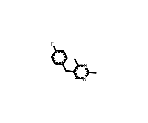 Cc1n[c]c(Cc2ccc(F)cc2)c(C)n1